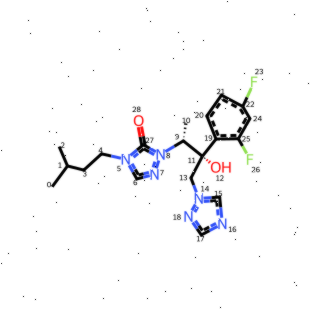 CC(C)CCn1cnn([C@H](C)[C@](O)(Cn2cncn2)c2ccc(F)cc2F)c1=O